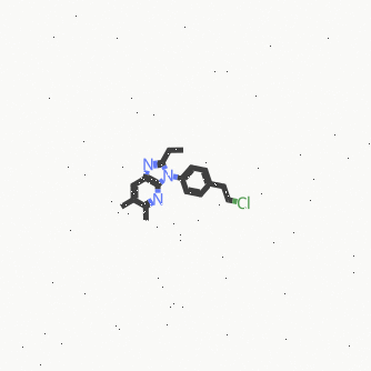 CCc1nc2cc(C)c(C)nc2n1-c1ccc(CCCl)cc1